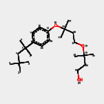 CC(C)(C)CC(C)(C)c1ccc(OC(C)(C)CCOC(C)(C)CCO)cc1